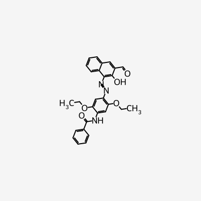 CCOc1cc(NC(=O)c2ccccc2)c(OCC)cc1/N=N/c1c(O)c(C=O)cc2ccccc12